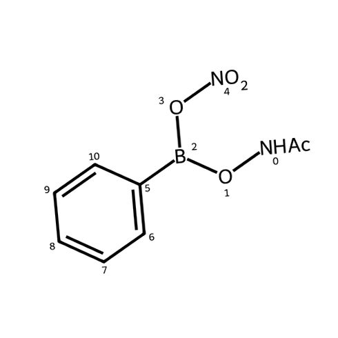 CC(=O)NOB(O[N+](=O)[O-])c1ccccc1